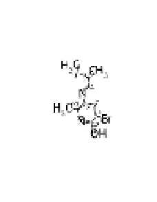 CCN(C)/C=N/c1cc(Br)c(O)nc1C